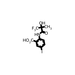 CC(O)(C(=O)Nc1ccc(I)cc1C(=O)O)C(F)(F)F